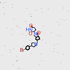 O=C1CCC(N2Cc3cc(CN4CCC(c5ccc(Br)cc5)CC4)ccc3C2=O)C(=O)N1